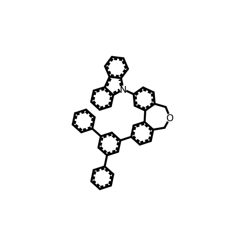 c1ccc(-c2cc(-c3ccccc3)cc(-c3ccc4c(c3)-c3cc(-n5c6ccccc6c6ccccc65)ccc3COC4)c2)cc1